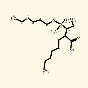 CCCCCCC(C(=O)S)C(CC)[Si](C)(C)OCCCOCC